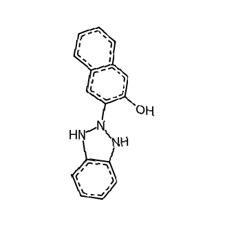 Oc1cc2ccccc2cc1N1Nc2ccccc2N1